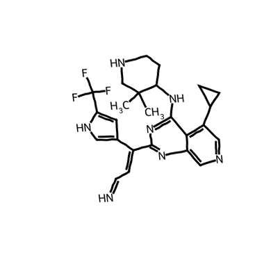 CC1(C)CNCCC1Nc1nc(/C(=C/C=N)c2c[nH]c(C(F)(F)F)c2)nc2cncc(C3CC3)c12